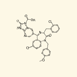 COc1ccc(CN2C(=O)C(Cc3ccccc3Cl)N=C(c3cnc4[nH]c(=O)n(C(=O)O)c4c3)c3cc(Cl)ccc32)cc1